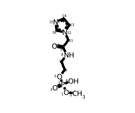 COP(=O)(O)OCCNC(=O)Cn1ccnc1